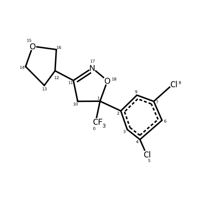 FC(F)(F)C1(c2cc(Cl)cc(Cl)c2)CC(C2CCOC2)=NO1